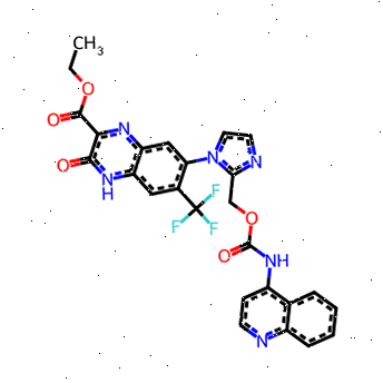 CCOC(=O)c1nc2cc(-n3ccnc3COC(=O)Nc3ccnc4ccccc34)c(C(F)(F)F)cc2[nH]c1=O